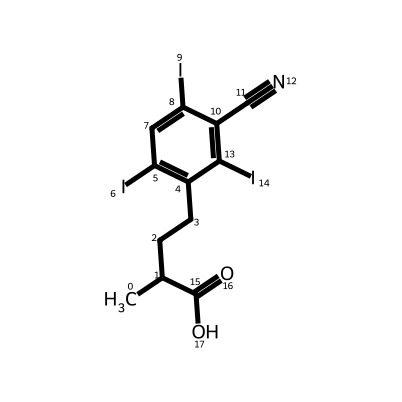 CC(CCc1c(I)cc(I)c(C#N)c1I)C(=O)O